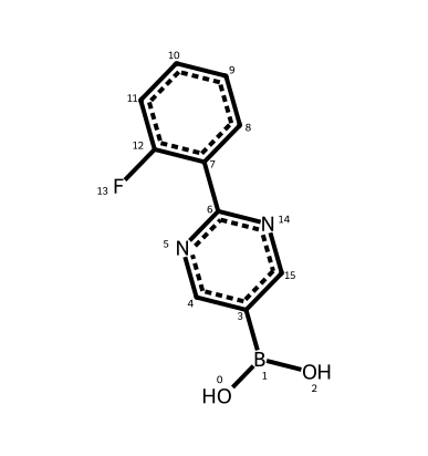 OB(O)c1cnc(-c2ccccc2F)nc1